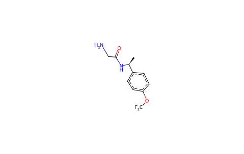 C[C@H](NC(=O)CN)c1ccc(OC(F)(F)F)cc1